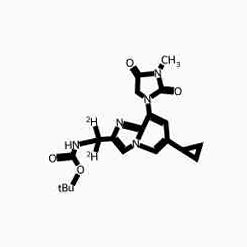 [2H]C([2H])(NC(=O)OC(C)(C)C)c1cn2cc(C3CC3)cc(N3CC(=O)N(C)C3=O)c2n1